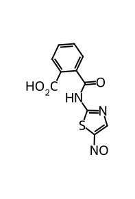 O=Nc1cnc(NC(=O)c2ccccc2C(=O)O)s1